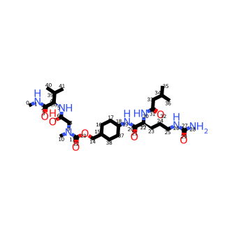 CNC(=O)[C@@H](NC(O)CN(C)C(=O)OCC1CCC(NC(=O)[C@H](CCCNC(N)=O)NC(=O)CC(C)C)CC1)C(C)C